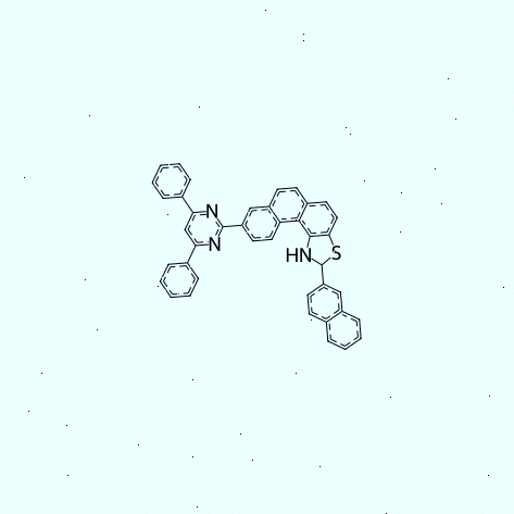 c1ccc(-c2cc(-c3ccccc3)nc(-c3ccc4c(ccc5ccc6c(c54)NC(c4ccc5ccccc5c4)S6)c3)n2)cc1